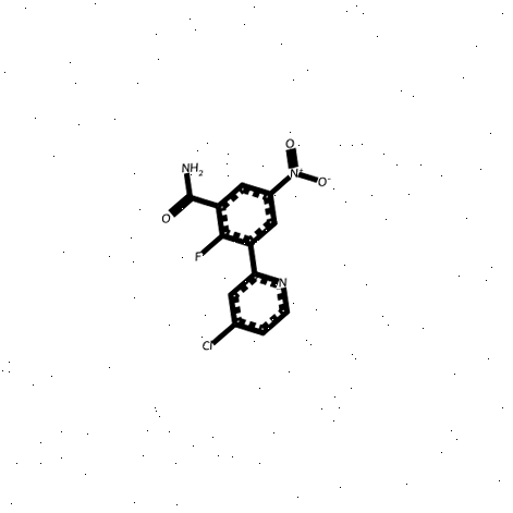 NC(=O)c1cc([N+](=O)[O-])cc(-c2cc(Cl)ccn2)c1F